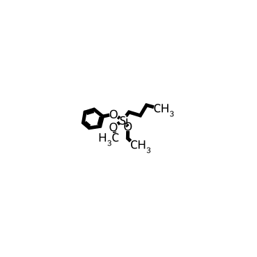 CCCC[Si](OC)(OCC)Oc1ccccc1